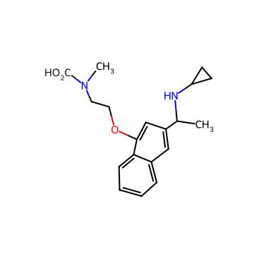 CC(NC1CC1)c1cc(OCCN(C)C(=O)O)c2ccccc2c1